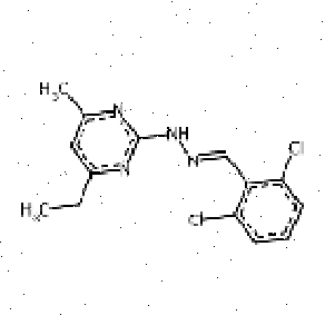 CCc1cc(C)nc(NN=Cc2c(Cl)cccc2Cl)n1